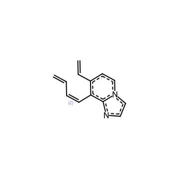 C=C/C=C\c1c(C=C)ccn2ccnc12